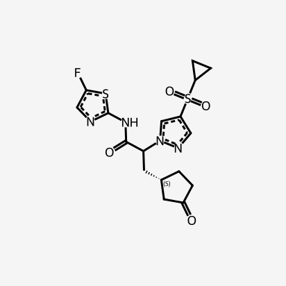 O=C1CC[C@@H](CC(C(=O)Nc2ncc(F)s2)n2cc(S(=O)(=O)C3CC3)cn2)C1